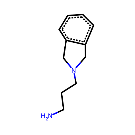 NCCCN1Cc2ccccc2C1